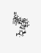 CC(C)(C)OC(=O)NC(c1nc(-c2cc(F)ccc2F)n[nH]1)C(C)(C)C